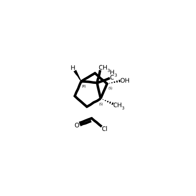 CC1(C)[C@@H]2CC[C@]1(C)[C@@H](O)C2.O=CCl